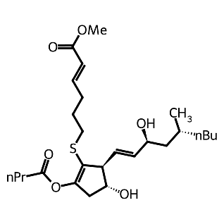 CCCC[C@@H](C)C[C@H](O)/C=C/[C@@H]1C(SCCC/C=C/C(=O)OC)=C(OC(=O)CCC)C[C@H]1O